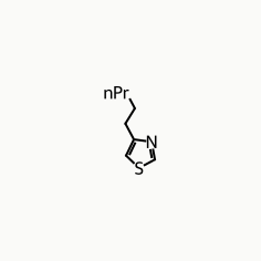 [CH2]CCCCc1cscn1